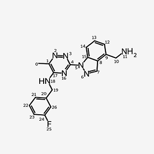 Cc1nnc(-n2ncc3c(CN)cccc32)nc1NCc1cccc(F)c1